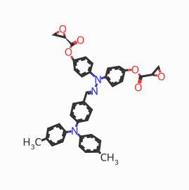 Cc1ccc(N(c2ccc(C)cc2)c2ccc(C=NN(c3ccc(OC(=O)C4CO4)cc3)c3ccc(OC(=O)[C@H]4CO4)cc3)cc2)cc1